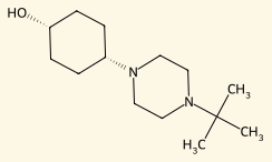 CC(C)(C)N1CCN([C@H]2CC[C@@H](O)CC2)CC1